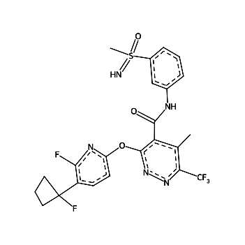 Cc1c(C(F)(F)F)nnc(Oc2ccc(C3(F)CCC3)c(F)n2)c1C(=O)Nc1cccc(S(C)(=N)=O)c1